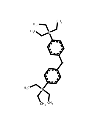 CC[Si](CC)(CC)c1ccc([C]c2ccc([Si](CC)(CC)CC)cc2)cc1